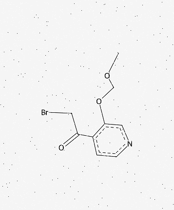 COCOc1cnccc1C(=O)CBr